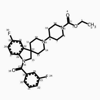 CCOC(=O)N1CCC(N2CCC3(CC2)CN(C(=O)c2cccc(F)c2)c2ccc(F)cc23)CC1